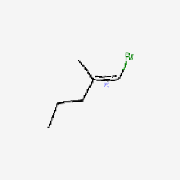 CCC/C(C)=C/Br